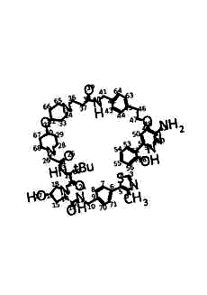 Cc1ncsc1-c1ccc(CNC(=O)[C@@H]2C[C@@H](O)CN2C(=O)[C@@H](NC(=O)CN2CCC(OC3CCN(CCC(=O)NCc4ccc(CCOc5cc(-c6ccccc6O)nnc5N)cc4)CC3)CC2)C(C)(C)C)cc1